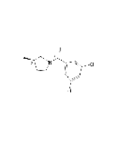 C[C@@H]1CCN([C@H](C)c2cc(Cl)cc(Cl)c2)C1